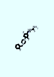 NC(=S)N/N=C/c1cc(F)c(N2CCN(Cc3ccccc3F)CC2)cc1F